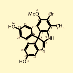 COc1cc2c(c(C)c1Br)NC(=O)C2(c1ccc(O)cc1)c1ccc(O)cc1